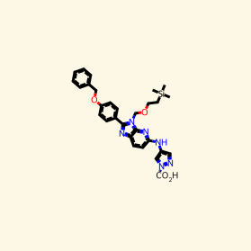 C[Si](C)(C)CCOCn1c(-c2ccc(OCc3ccccc3)cc2)nc2ccc(Nc3cnn(C(=O)O)c3)nc21